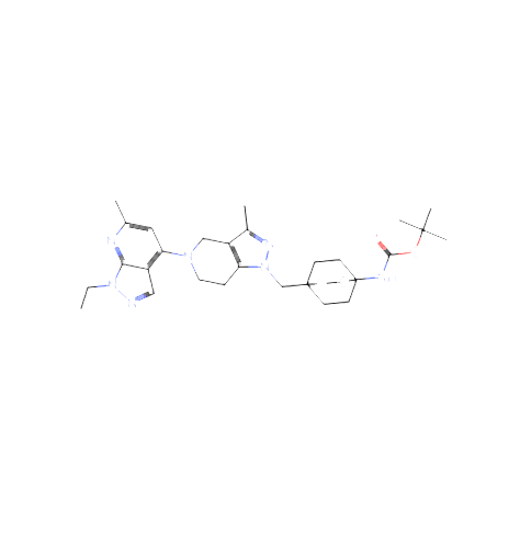 CCn1ncc2c(N3CCc4c(c(C)nn4CC45CCC(NC(=O)OC(C)(C)C)(CC4)CC5)C3)cc(C)nc21